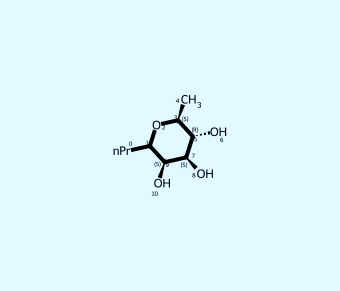 CCC[C]1O[C@@H](C)[C@H](O)[C@@H](O)[C@H]1O